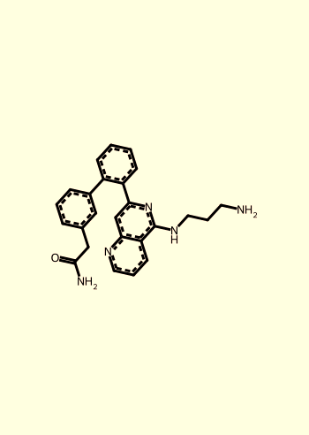 NCCCNc1nc(-c2ccccc2-c2cccc(CC(N)=O)c2)cc2ncccc12